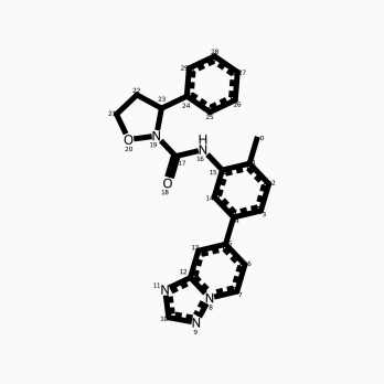 Cc1ccc(-c2ccn3ncnc3c2)cc1NC(=O)N1OCCC1c1ccccc1